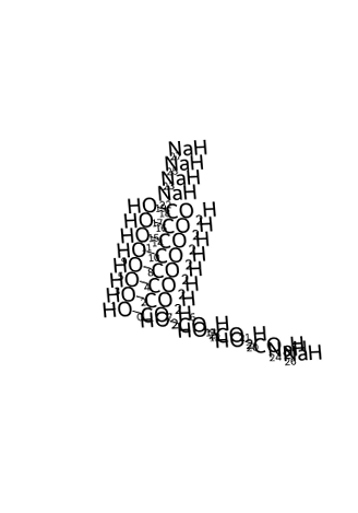 O=C(O)O.O=C(O)O.O=C(O)O.O=C(O)O.O=C(O)O.O=C(O)O.O=C(O)O.O=C(O)O.O=C(O)O.O=C(O)O.O=C(O)O.[NaH].[NaH].[NaH].[NaH].[NaH].[NaH]